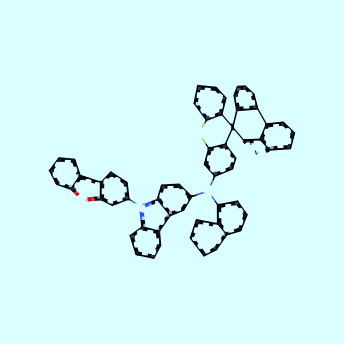 c1ccc2c(c1)Sc1cc(N(c3ccc4c(c3)c3ccccc3n4-c3ccc4c(c3)oc3ccccc34)c3cccc4ccccc34)ccc1C21c2ccccc2-c2cccc3cccc1c23